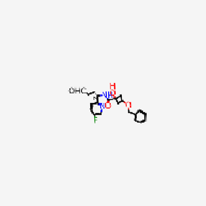 O=CCC[C@H](NC(=O)C1(O)CC(OCc2ccccc2)C1)c1ccc(F)cn1